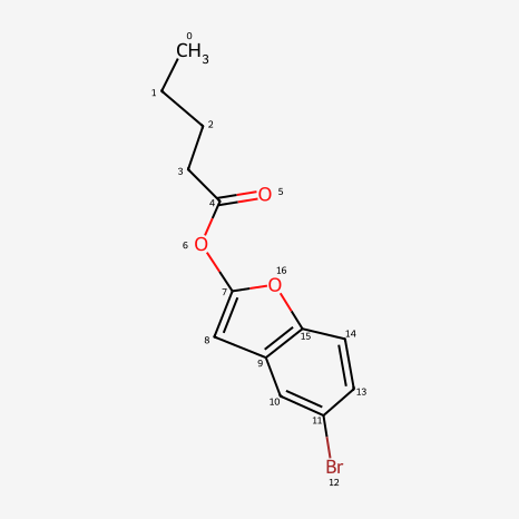 CCCCC(=O)Oc1cc2cc(Br)ccc2o1